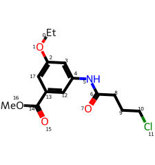 CCOc1cc(NC(=O)CCCCl)cc(C(=O)OC)c1